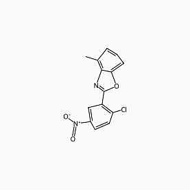 Cc1cccc2oc(-c3cc([N+](=O)[O-])ccc3Cl)nc12